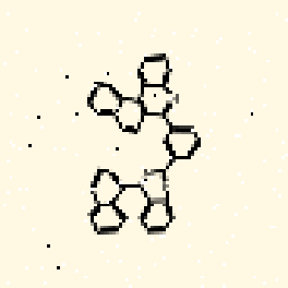 c1cc(-c2nc(-c3cccc4ccccc34)c3ccccc3n2)cc(-c2nc3ccccc3c3c2ccc2ccccc23)c1